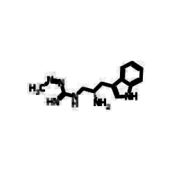 C/N=N\C(=N)NC[C@@H](N)Cc1c[nH]c2ccccc12